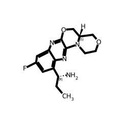 CC[C@@H](N)c1cc(F)cc2nc3c(nc12)N1CCOC[C@H]1CO3